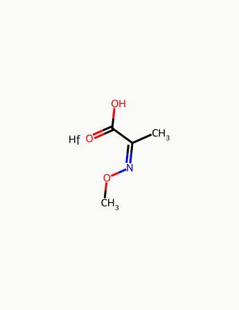 CON=C(C)C(=O)O.[Hf]